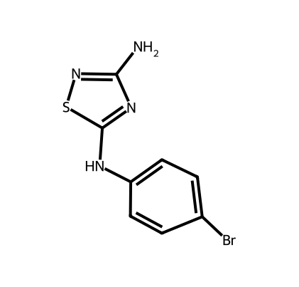 Nc1nsc(Nc2ccc(Br)cc2)n1